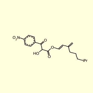 C=C(C=COC(=O)C(O)C(=O)c1ccc([N+](=O)[O-])cc1)CCCC(C)C